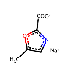 Cc1cnc(C(=O)[O-])o1.[Na+]